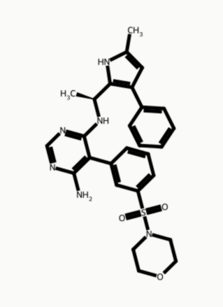 Cc1cc(-c2ccccc2)c([C@H](C)Nc2ncnc(N)c2-c2cccc(S(=O)(=O)N3CCOCC3)c2)[nH]1